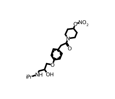 CC(C)NCC(O)COc1ccc(CC(=O)N2CCC(O[N+](=O)[O-])CC2)cc1